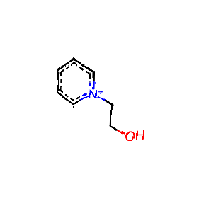 OCC[n+]1[c]cccc1